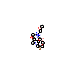 c1ccc(-n2c3ccc4sc5ccccc5c4c3c3cccc(-c4ccc5oc6cccc(-c7nc(-c8ccc9c(c8)oc8ccccc89)nc(-c8ccc9c(c8)oc8ccccc89)n7)c6c5c4)c32)cc1